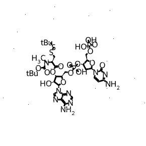 CN(C(=O)OC(C)(C)C)[C@@H](CSSC(C)(C)C)C(=O)O[C@H]1[C@@H](O)[C@H](n2cnc3c(N)ncnc32)O[C@@H]1COP(=O)(O)O[C@H]1C[C@H](n2ccc(N)nc2=O)O[C@@H]1COP(=O)(O)O